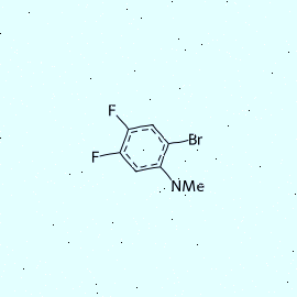 CNc1cc(F)c(F)cc1Br